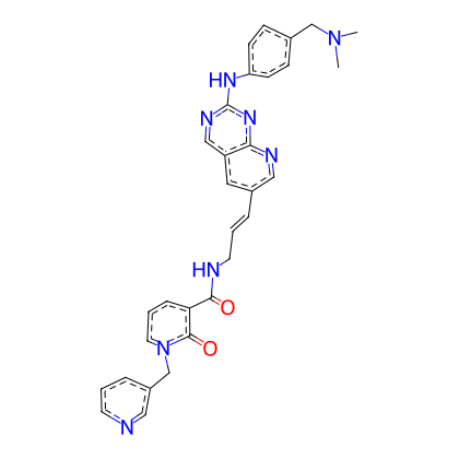 CN(C)Cc1ccc(Nc2ncc3cc(C=CCNC(=O)c4cccn(Cc5cccnc5)c4=O)cnc3n2)cc1